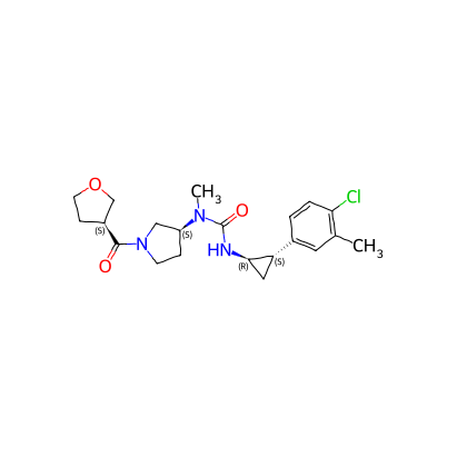 Cc1cc([C@@H]2C[C@H]2NC(=O)N(C)[C@H]2CCN(C(=O)[C@H]3CCOC3)C2)ccc1Cl